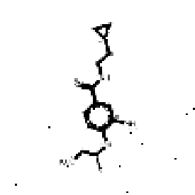 C[C@@H](CC(=O)O)Nc1ccc(C(=O)NCCC2CC2)cc1N